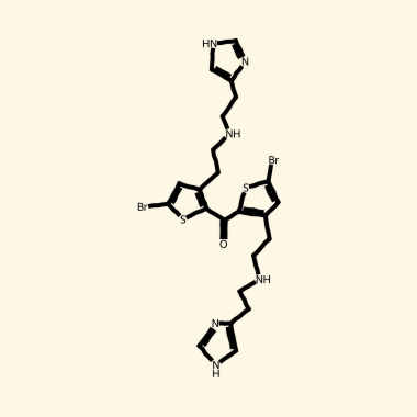 O=C(c1sc(Br)cc1CCNCCc1c[nH]cn1)c1sc(Br)cc1CCNCCc1c[nH]cn1